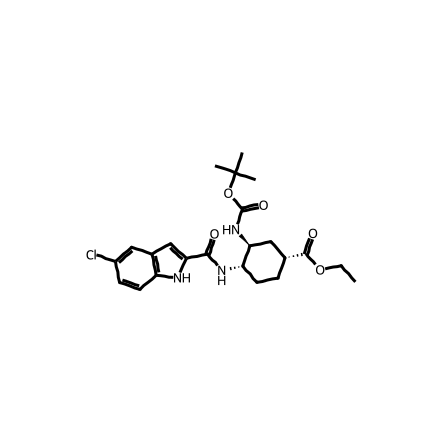 CCOC(=O)[C@@H]1CC[C@H](NC(=O)c2cc3cc(Cl)ccc3[nH]2)[C@@H](NC(=O)OC(C)(C)C)C1